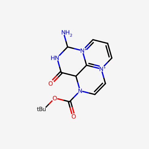 CC(C)(C)OC(=O)N1C=C[n+]2ccc[n+]3c2C1C(=O)NC3N